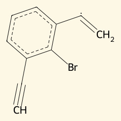 C#Cc1cccc([C]=C)c1Br